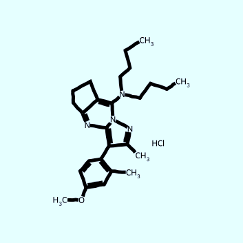 CCCCN(CCCC)c1c2c(nc3c(-c4ccc(OC)cc4C)c(C)nn13)CCC2.Cl